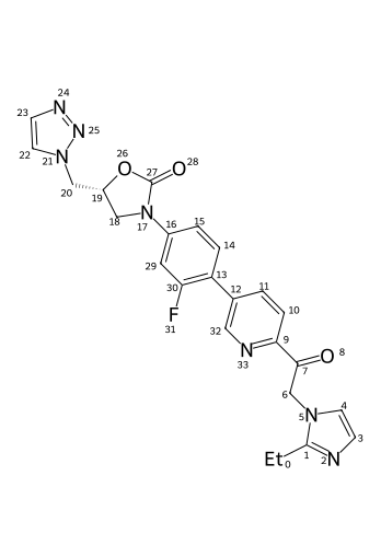 CCc1nccn1CC(=O)c1ccc(-c2ccc(N3C[C@H](Cn4ccnn4)OC3=O)cc2F)cn1